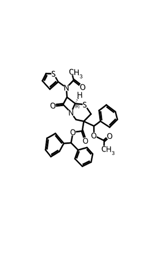 CC(=O)OC(c1ccccc1)C1(C(=O)OC(c2ccccc2)c2ccccc2)CS[C@@H]2C(N(C(C)=O)c3cccs3)C(=O)N2C1